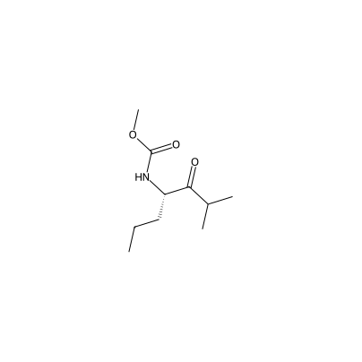 CCC[C@H](NC(=O)OC)C(=O)C(C)C